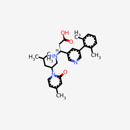 Cc1ccn(C(CN[C@H](CC(=O)O)c2cncc(-c3c(C)cccc3C)c2)CC(C)C)c(=O)c1